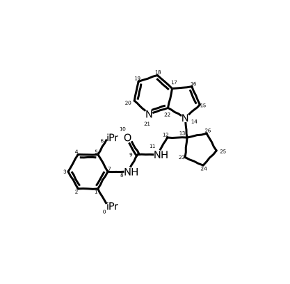 CC(C)c1cccc(C(C)C)c1NC(=O)NCC1(n2ccc3cccnc32)CCCC1